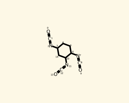 O=C=NC1CCC(N=C=O)C(N=C=O)C1